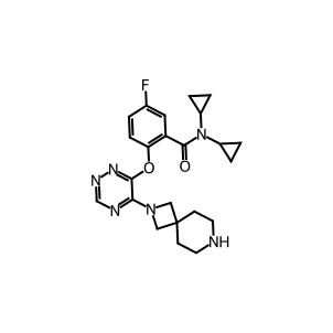 O=C(c1cc(F)ccc1Oc1nncnc1N1CC2(CCNCC2)C1)N(C1CC1)C1CC1